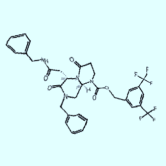 O=C(C[C@H]1C(=O)N(Cc2ccccc2)C[C@@H]2N(C(=O)OCc3cc(C(F)(F)F)cc(C(F)(F)F)c3)CCC(=O)N21)NCc1ccccc1